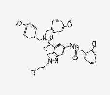 COc1ccc(CN(Cc2ccc(OC)cc2)S(=O)(=O)c2cc(NC(=O)Cc3ccccc3Cl)cc3nn(CCC(C)C)cc23)cc1